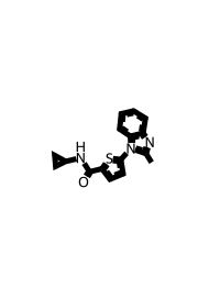 Cc1nc2ccccc2n1-c1ccc(C(=O)NC2CC2)s1